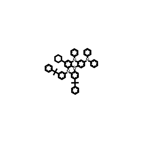 CC(C)(c1ccccc1)c1cccc(N2c3cc(C(C)(C)c4ccccc4)ccc3B3c4ccc(N(c5ccccc5)c5ccccc5)cc4N(c4ccccc4)c4cc(C5CCCCC5)cc2c43)c1